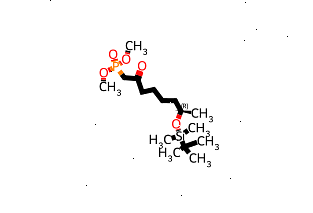 COP(=O)(CC(=O)CCCC[C@@H](C)O[Si](C)(C)C(C)(C)C)OC